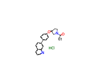 CCC(=O)N1CC[C@H](Oc2ccc(-c3ccc4cccnc4c3)cc2)C1.Cl